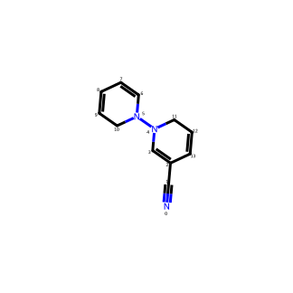 N#CC1=CN(N2C=CC=CC2)CC=C1